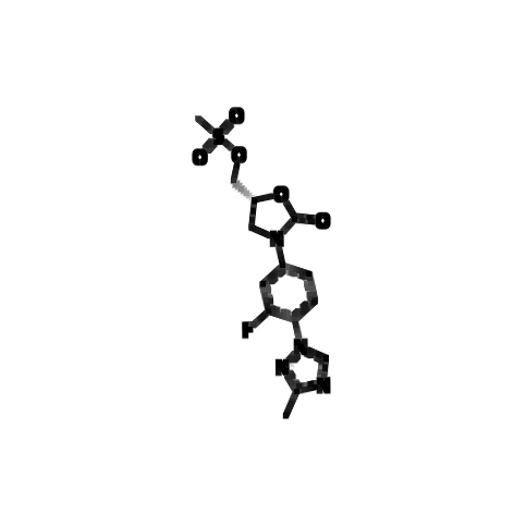 Cc1ncn(-c2ccc(N3C[C@H](COS(C)(=O)=O)OC3=O)cc2F)n1